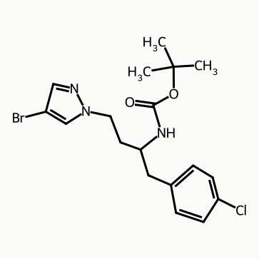 CC(C)(C)OC(=O)NC(CCn1cc(Br)cn1)Cc1ccc(Cl)cc1